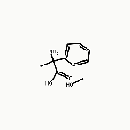 CC(N)(C(=O)O)c1ccccc1.CO